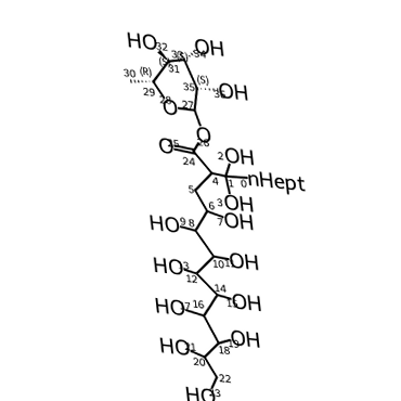 CCCCCCCC(O)(O)C(CC(O)C(O)C(O)C(O)C(O)C(O)C(O)C(O)CO)C(=O)OC1O[C@H](C)[C@@H](O)[C@H](O)[C@@H]1O